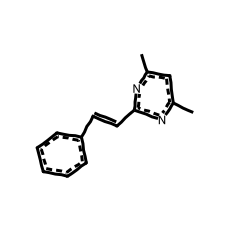 Cc1cc(C)nc(/C=C/c2ccccc2)n1